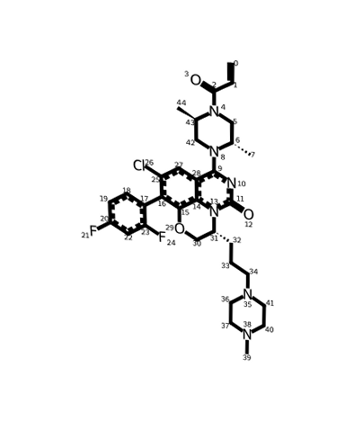 C=CC(=O)N1C[C@H](C)N(c2nc(=O)n3c4c(c(-c5ccc(F)cc5F)c(Cl)cc24)OC[C@H]3CCCN2CCN(C)CC2)C[C@H]1C